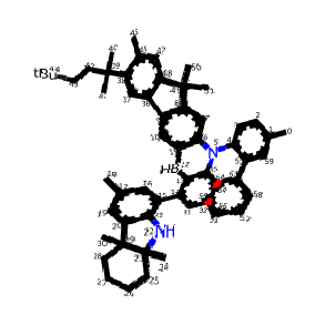 Cc1ccc(N2c3cc4c(cc3Bc3c(-c5cc(C)cc6c5NC5(C)CCCCC65C)cc(C)cc32)-c2cc(C(C)(C)CCC(C)(C)C)c(C)cc2C4(C)C)c(-c2ccccc2)c1